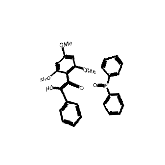 COc1cc(OC)c(C(=O)C(O)c2ccccc2)c(OC)c1.O=[P](c1ccccc1)c1ccccc1